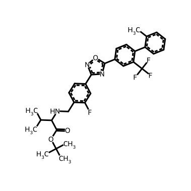 Cc1ccccc1-c1ccc(-c2nc(-c3ccc(CNC(C(=O)OC(C)(C)C)C(C)C)c(F)c3)no2)cc1C(F)(F)F